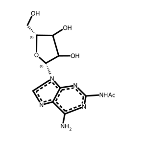 CC(=O)Nc1nc(N)c2ncn([C@@H]3O[C@H](CO)C(O)C3O)c2n1